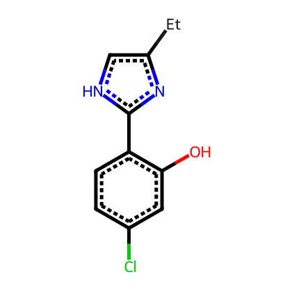 CCc1c[nH]c(-c2ccc(Cl)cc2O)n1